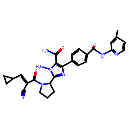 Cc1ccnc(NC(=O)c2ccc(-c3nc(C4CCCN4C(=O)C(C#N)=CC4CC4)n(N)c3C(N)=O)cc2)c1